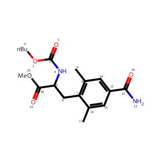 CCCCOC(=O)NC(Cc1c(C)cc(C(N)=O)cc1C)C(=O)OC